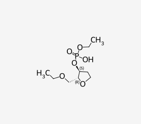 CCOC[C@H]1OCC[C@@H]1OP(=O)(O)OCC